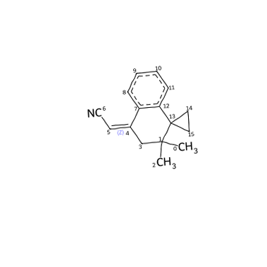 CC1(C)C/C(=C/C#N)c2ccccc2C12CC2